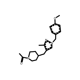 COc1ccc(Cn2cc(CC3CCN(C(C)=O)CC3)c(C)n2)cc1